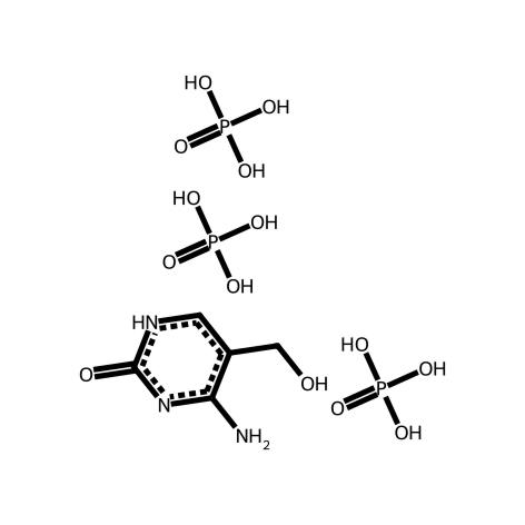 Nc1nc(=O)[nH]cc1CO.O=P(O)(O)O.O=P(O)(O)O.O=P(O)(O)O